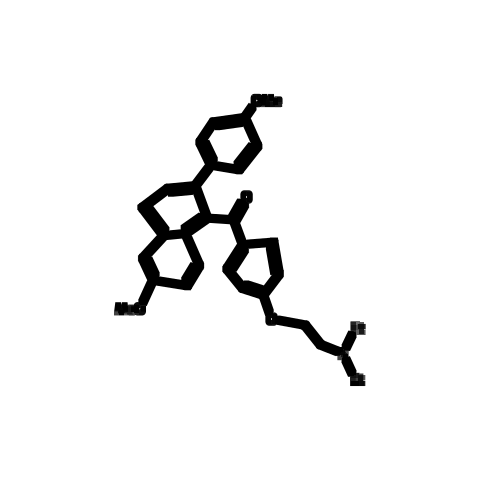 CCN(CC)CCOc1ccc(C(=O)c2c(-c3ccc(OC)cc3)ccc3cc(OC)ccc23)cc1